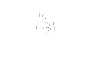 Cl.O=C(Nc1ccc2c(c1)CCNC2)NC1CCCCC1